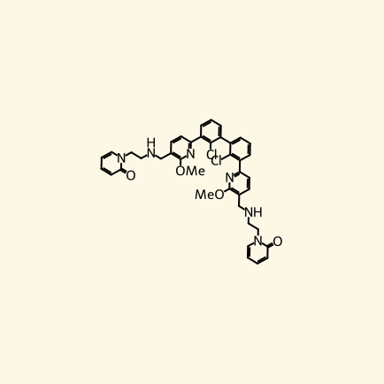 COc1nc(-c2cccc(-c3cccc(-c4ccc(CNCCn5ccccc5=O)c(OC)n4)c3Cl)c2Cl)ccc1CNCCn1ccccc1=O